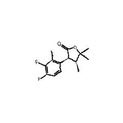 Cc1c([C@H]2C(=O)OC(C)(C)[C@H]2C)ccc(F)c1F